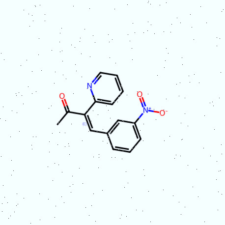 CC(=O)/C(=C/c1cccc([N+](=O)[O-])c1)c1ccccn1